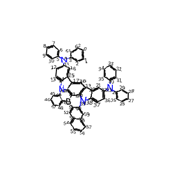 c1ccc(N(c2ccccc2)c2ccc3c(c2)c2cc4c5cc(N(c6ccccc6)c6ccccc6)ccc5n5c4c4c2n3-c2ccccc2B4c2cc3ccccc3cc2-5)cc1